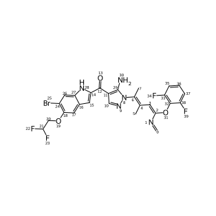 C=N/C(=C\C(C)=C(/C)n1ncc(C(=O)c2cc3cc(OCC(F)F)c(Br)cc3[nH]2)c1N)Oc1c(F)cccc1F